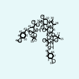 COc1ccc(CSCC(NC(=O)OC(C)(C)C)C(=O)OCN2C(=O)CN(C(C)C(C)N3CC(=O)N(COC(=O)C(CSCc4ccc(OC)cc4)NC(=O)OC(C)(C)C)C(=O)C3)CC2=O)cc1